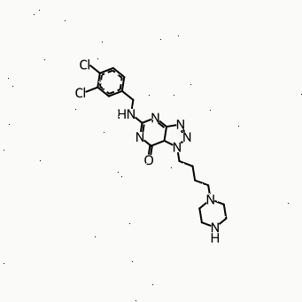 O=C1N=C(NCc2ccc(Cl)c(Cl)c2)N=C2N=NN(CCCCN3CCNCC3)C12